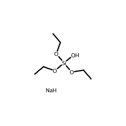 CCO[Si](O)(OCC)OCC.[NaH]